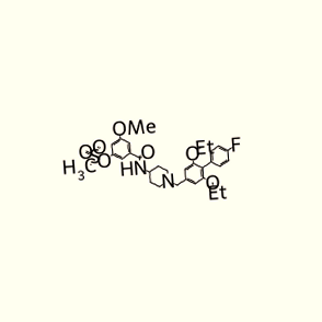 CCOc1cc(CN2CCC(NC(=O)c3cc(OC)cc(OS(C)(=O)=O)c3)CC2)cc(OCC)c1-c1ccc(F)cc1